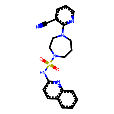 N#Cc1cccnc1N1CCCN(S(=O)(=O)Nc2ccc3ccccc3n2)CC1